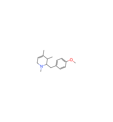 COc1ccc(CC2C(C)C(C)=CCN2C)cc1